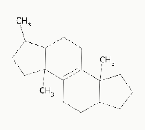 CC1CCC2(C)C3=C(CCC12)C1(C)CCCC1CC3